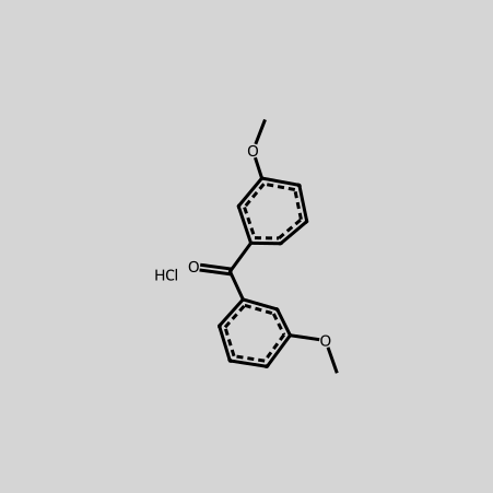 COc1cccc(C(=O)c2cccc(OC)c2)c1.Cl